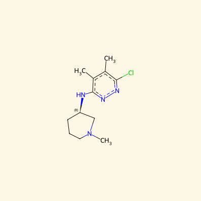 Cc1c(Cl)nnc(N[C@@H]2CCCN(C)C2)c1C